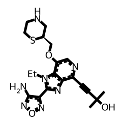 CCn1c(-c2nonc2N)nc2c(C#CC(C)(C)O)ncc(OC[C@@H]3CNCCS3)c21